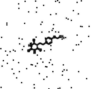 CCOc1ccc(CCC2C(=O)NC(=O)NC2=O)cc1